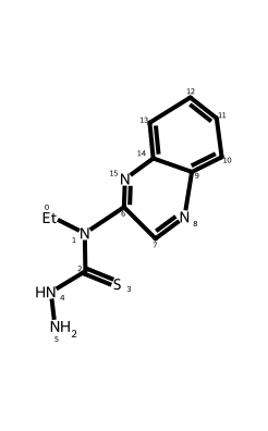 CCN(C(=S)NN)c1cnc2ccccc2n1